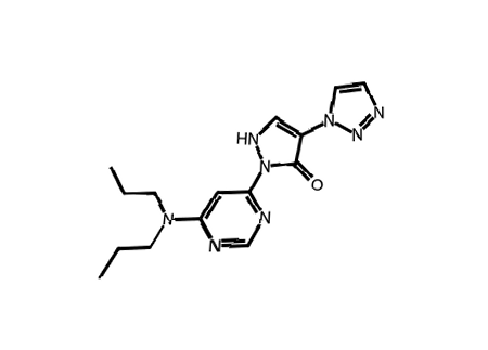 CCCN(CCC)c1cc(-n2[nH]cc(-n3ccnn3)c2=O)ncn1